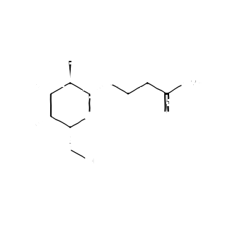 COC(=O)CCS[C@@H]1O[C@H](CO)[C@H](O)[C@H](O)[C@H]1C